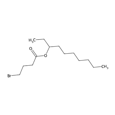 CCCCCCCC(CC)OC(=O)CCCBr